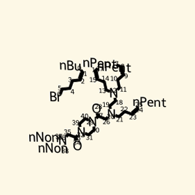 CCCC/C=C\CCCBr.CCCCC/C=C\CCN(CC/C=C\CCCCC)CCN(CC/C=C\CCCCC)CC(=O)N1CCN(C(=O)CN(CCCCCCCCC)CCCCCCCCC)CC1